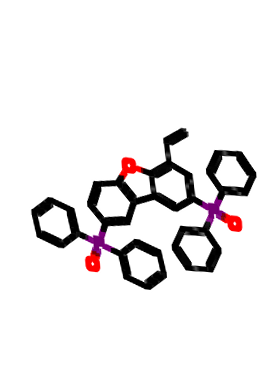 C=Cc1cc(P(=O)(c2ccccc2)c2ccccc2)cc2c1oc1ccc(P(=O)(c3ccccc3)c3ccccc3)cc12